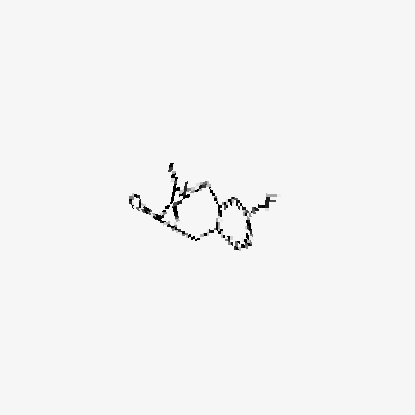 CN1C(=O)C2Cc3ccc(F)cc3C1C2